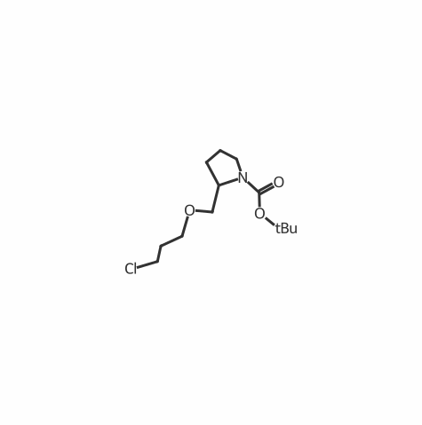 CC(C)(C)OC(=O)N1CCCC1COCCCCl